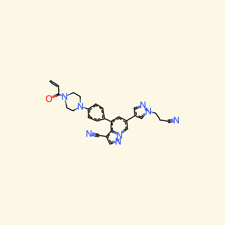 C=CC(=O)N1CCN(c2ccc(-c3cc(-c4cnn(CCC#N)c4)cn4ncc(C#N)c34)cc2)CC1